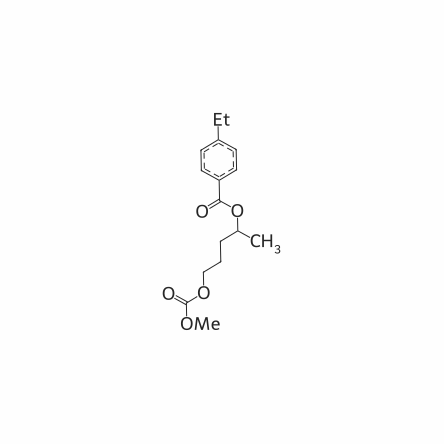 CCc1ccc(C(=O)OC(C)CCCOC(=O)OC)cc1